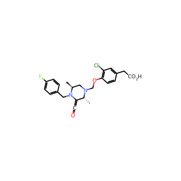 C[C@@H]1C(=C=O)N(Cc2ccc(F)cc2)[C@@H](C)CN1COc1ccc(CC(=O)O)cc1Cl